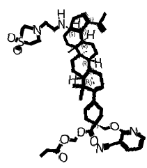 C=C(C)[C@@H]1CC[C@]2(NCCN3CCS(=O)(=O)CC3)CC[C@]3(C)[C@H](CC[C@@H]4[C@@]5(C)CC=C(C6=CC[C@@](COc7ncccc7C#N)(C(=O)OCOC(=O)CC)CC6)C(C)(C)[C@@H]5CC[C@]43C)[C@@H]12